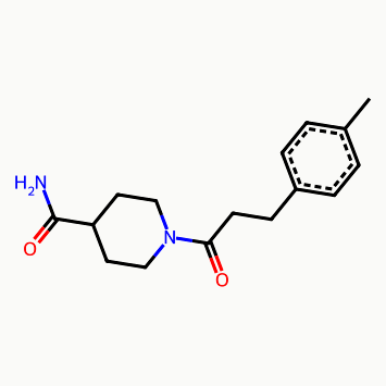 Cc1ccc(CCC(=O)N2CCC(C(N)=O)CC2)cc1